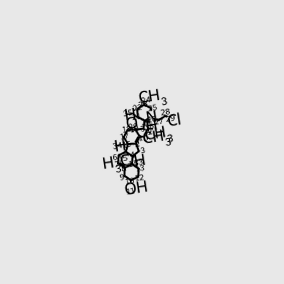 CC1=C2C[C@H]3C(CC=C4C[C@@H](O)CCC43C)[C@@H]2CCC12O[C@@H]1CC(C)CN(CCCl)[C@H]1[C@H]2C